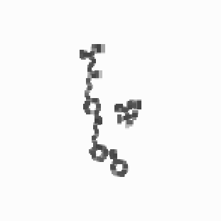 O=C(O)C(F)(F)F.O=C(O)CCNCCCc1ccc(OCCCc2cccc(Oc3ccccc3)c2)cc1